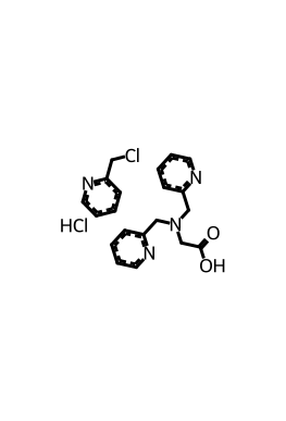 Cl.ClCc1ccccn1.O=C(O)CN(Cc1ccccn1)Cc1ccccn1